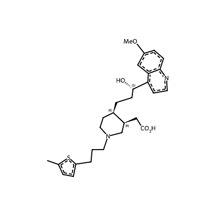 COc1ccc2nccc([C@@H](O)CC[C@@H]3CCN(CCCc4ccc(C)s4)C[C@@H]3CC(=O)O)c2c1